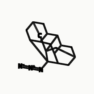 [N-]=[N+]=NC12C3CC4CC5C3CC3C6CC(CC31)CC2(C4)C56